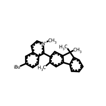 CCC(C)c1ccc2c(-c3cc4c(cc3C)-c3ccccc3C4(C)C)[n+](C)ccc2c1